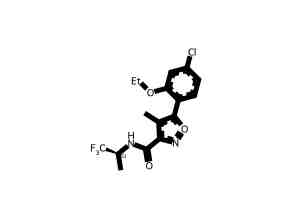 CCOc1cc(Cl)ccc1-c1onc(C(=O)N[C@@H](C)C(F)(F)F)c1C